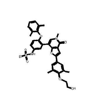 CCS(=O)(=O)Nc1ccc(Oc2c(C)cccc2C)c(-c2cn(C)c(=O)c3cc(-c4cc(C)c(OCCO)c(C)c4)oc23)c1